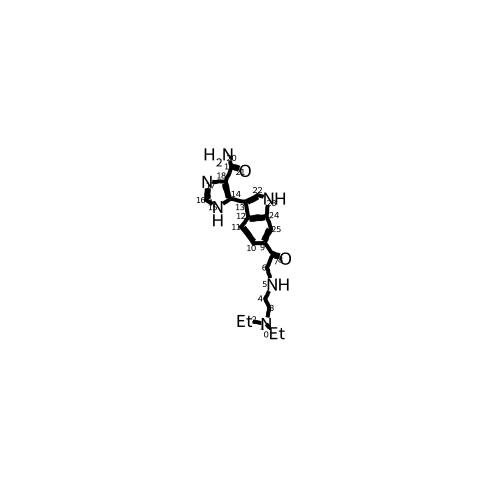 CCN(CC)CCNCC(=O)c1ccc2c(-c3[nH][c]nc3C(N)=O)c[nH]c2c1